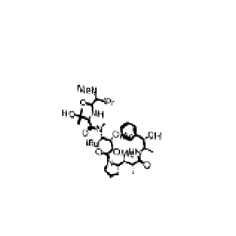 CC[C@H](C)[C@@H]([C@@H](CC(=O)N1CCC[C@H]1[C@H](OC)[C@@H](C)C(=O)N[C@H](C)[C@@H](O)c1ccccc1)OC)N(C)C(=O)[C@@H](NC(=O)[C@@H](NC)C(C)C)C(C)(C)O